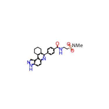 CNS(=O)(=O)CCNC(=O)c1ccc(-c2nc3ccc4[nH]ncc4c3c3c2CCCC3)cc1